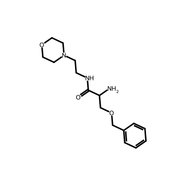 NC(COCc1ccccc1)C(=O)NCCN1CCOCC1